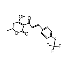 Cc1cc(O)c(C(=O)C=Cc2ccc(SC(F)(F)F)cc2)c(=O)o1